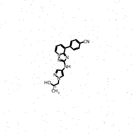 C[C@H](O)Cn1cc(Nc2nc3c(-c4ccc(C#N)cc4)cccn3n2)cn1